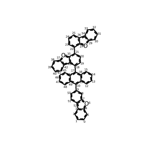 c1ccc2c(c1)oc1cc(-c3c4ccccc4c(-c4ccc(-c5cccc6c5oc5ccccc56)c5oc6ccccc6c45)c4ccccc34)ccc12